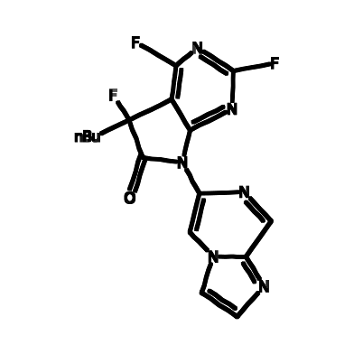 CCCCC1(F)C(=O)N(c2cn3ccnc3cn2)c2nc(F)nc(F)c21